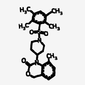 Cc1cc(C)c(C)c(S(=O)(=O)N2CCC(N3C(=O)OCc4cccc(C)c43)CC2)c1C